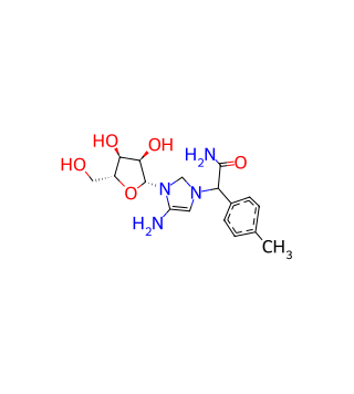 Cc1ccc(C(C(N)=O)N2C=C(N)N([C@@H]3O[C@H](CO)[C@@H](O)[C@H]3O)C2)cc1